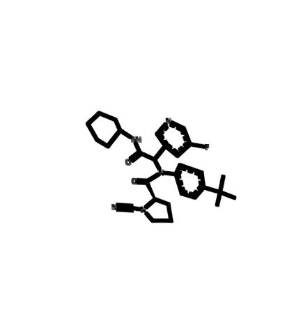 CC(C)(C)c1ccc(N(C(=O)[C@H]2CCCN2C#N)C(C(=O)NC2CCCCC2)c2cncc(F)c2)cc1